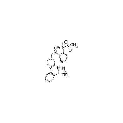 CCCN(Cc1ccc(-c2ccccc2-c2nnn[nH]2)cc1)c1ncccc1NS(C)(=O)=O